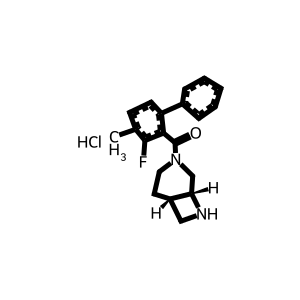 Cc1ccc(-c2ccccc2)c(C(=O)N2CC[C@H]3CN[C@H]3C2)c1F.Cl